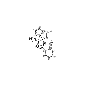 CC(C)CC(C(N)=O)(c1nccs1)N1C(=O)c2ccccc2C1=O